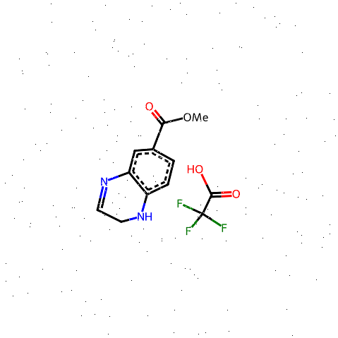 COC(=O)c1ccc2c(c1)N=CCN2.O=C(O)C(F)(F)F